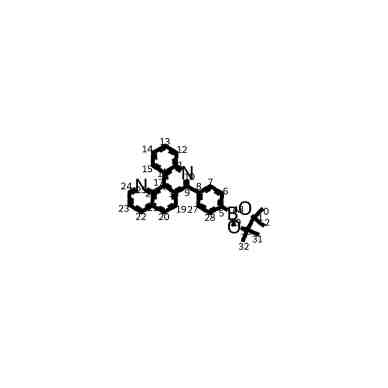 CC1(C)OB(c2ccc(-c3nc4ccccc4c4c3ccc3cccnc34)cc2)OC1(C)C